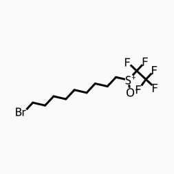 [O-][S+](CCCCCCCCCBr)C(F)(F)C(F)(F)F